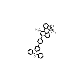 [2H]C([2H])([2H])C1(C)c2ccccc2-c2c(C)cc(-c3ccc(-c4ccc(P(=O)(c5ccccc5)c5ccccc5)cc4)cc3)c3cccc1c23